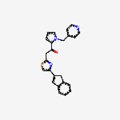 O=C(Cc1nc(C2=Cc3ccccc3C2)cs1)c1cccn1Cc1ccncc1